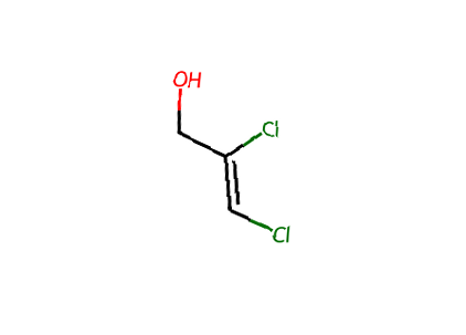 OCC(Cl)=CCl